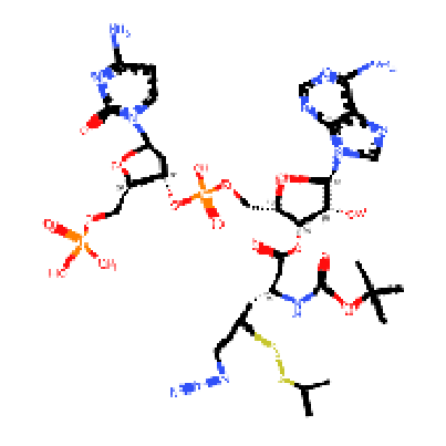 CC(C)SSC(CN=[N+]=[N-])C[C@@H](NC(=O)OC(C)(C)C)C(=O)O[C@H]1[C@@H](O)[C@H](n2cnc3c(N)ncnc32)O[C@H]1COP(=O)(O)O[C@H]1CC(n2ccc(N)nc2=O)O[C@@H]1COP(=O)(O)O